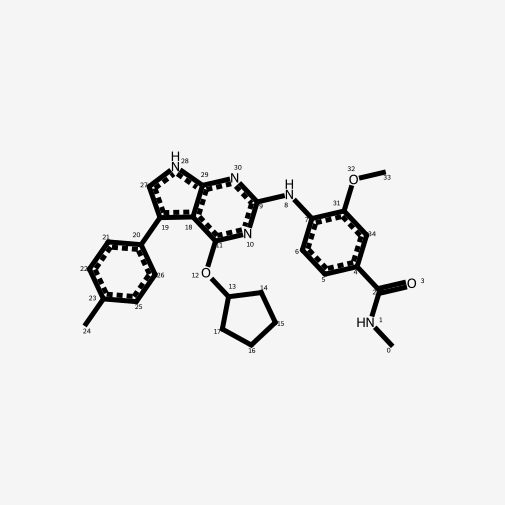 CNC(=O)c1ccc(Nc2nc(OC3CCCC3)c3c(-c4ccc(C)cc4)c[nH]c3n2)c(OC)c1